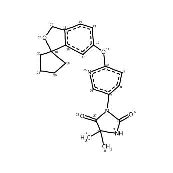 CC1(C)NC(=O)N(c2ccc(Oc3ccc4c(c3)C3(CCCC3)OC4)nc2)C1=O